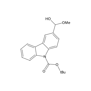 COC(O)c1ccc2c(c1)c1ccccc1n2C(=O)OC(C)(C)C